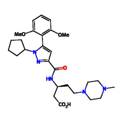 COc1cccc(OC)c1-c1cc(C(=O)N[C@@H](CCN2CCN(C)CC2)CC(=O)O)nn1C1CCCC1